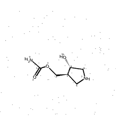 NC(=O)OC[C@@H]1CNC[C@H]1O